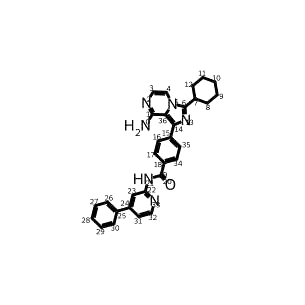 Nc1nccn2c(C3CCCCC3)nc(-c3ccc(C(=O)Nc4cc(-c5ccccc5)ccn4)cc3)c12